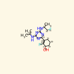 CC(C)Nc1nc(N[C@@H](C)CF)nc(C2=C(F)C(O)CCC2)n1